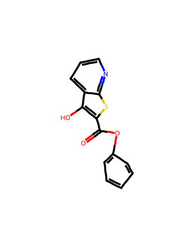 O=C(Oc1ccccc1)c1sc2ncccc2c1O